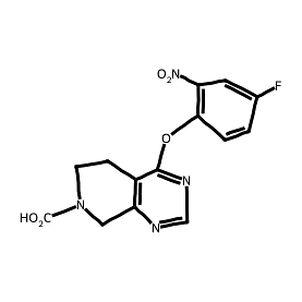 O=C(O)N1CCc2c(ncnc2Oc2ccc(F)cc2[N+](=O)[O-])C1